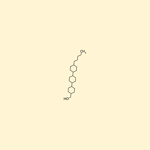 CCCCCC1CCC(C2CCC(C3CCC(CO)CC3)CC2)CC1